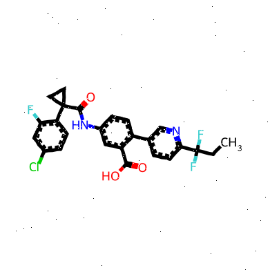 CCC(F)(F)c1ccc(-c2ccc(NC(=O)C3(c4ccc(Cl)cc4F)CC3)cc2C(=O)O)cn1